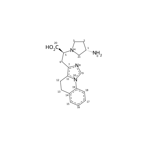 N[C@H]1CCN([C@@H](Cc2ncn3c2CCc2ccccc2-3)C(=O)O)C1